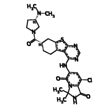 CN(C)[C@H]1CCN(C(=O)[C@H]2CCc3c(sc4ncnc(Nc5cc(Cl)c6n(c5=O)C(C)(C)NC6=O)c34)C2)C1